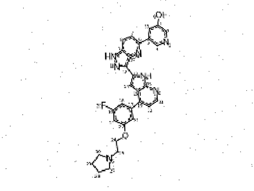 Oc1cncc(-c2ccc3[nH]nc(-c4cc5c(-c6cc(F)cc(OCCN7CCCC7)c6)ccnc5[nH]4)c3n2)c1